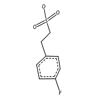 [O]S(=O)(=O)CCc1ccc(F)cc1